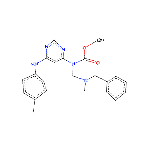 Cc1ccc(Nc2cc(N(CN(C)Cc3ccccc3)C(=O)OC(C)(C)C)ncn2)cc1